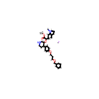 C[n+]1cccc2ccc(C(OC3CNCCC3c3ccc(OCCCOCc4ccccc4)cc3)C(=O)OC(C)(C)C)cc21.[I-]